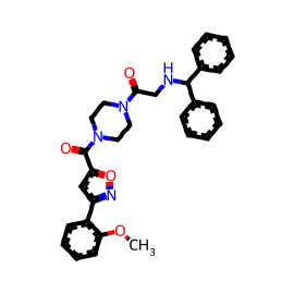 COc1ccccc1-c1cc(C(=O)N2CCN(C(=O)CNC(c3ccccc3)c3ccccc3)CC2)on1